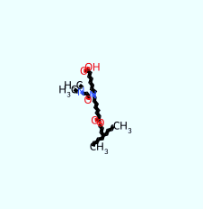 CCCCCC(CCCCC)CCCOC(=O)CCCCCCCN(CCCCCCCC(=O)O)C(=O)CCN(CC)CC